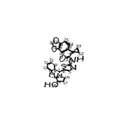 O=C(Nc1ncc([C@H](c2ccccc2Cl)N2CCC(O)C2)s1)C1(c2ccc3c(c2)OCO3)CC1